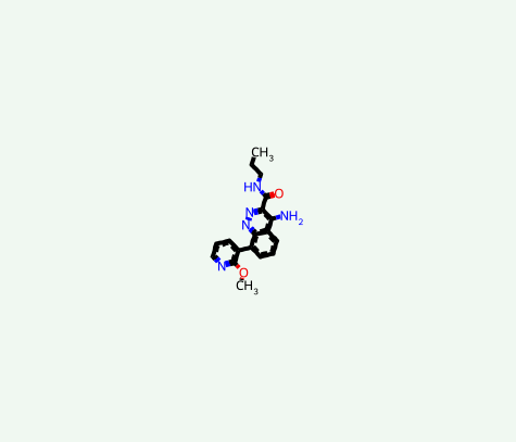 CCCNC(=O)c1nnc2c(-c3cccnc3OC)cccc2c1N